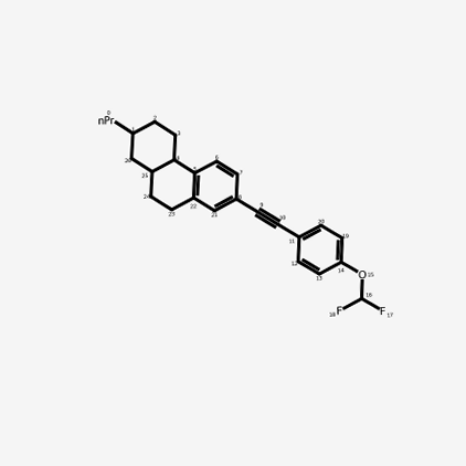 CCCC1CCC2c3ccc(C#Cc4ccc(OC(F)F)cc4)cc3CCC2C1